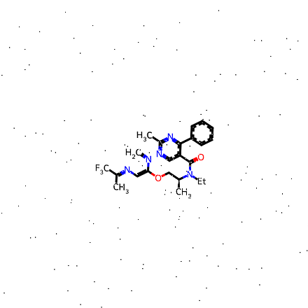 C=N/C(=C\N=C(/C)C(F)(F)F)OC[C@H](C)N(CC)C(=O)c1cnc(C)nc1-c1ccccc1